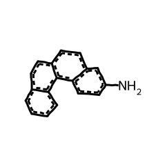 Nc1ccc2c(ccc3ccc4ccccc4c32)c1